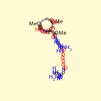 CO[C@H]1C[C@@H]2CC[C@@H](C)[C@@](O)(O2)C(=O)C(=O)N2CCCC[C@H]2C(=O)O[C@H]([C@H](C)C[C@@H]2CC[C@@H](OC(=O)N3CCc4nc(N5CCN(c6ncc(C(=O)NCCOCCOCCOCCOCCC(=O)N7CCc8cc(Cn9nc(-c%10cnc%11[nH]ccc%11c%10)c%10c(N)ncnc%109)ccc8C7)c(N)n6)CC5)ncc4C3)[C@H](OC)C2)CC(=O)[C@H](C)/C=C(\C)[C@@H](O)[C@@H](OC)C(=O)[C@H](C)C[C@H](C)/C=C/C=C/C=C/1C